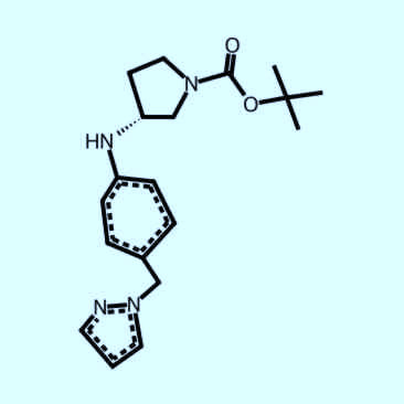 CC(C)(C)OC(=O)N1CC[C@@H](Nc2ccc(Cn3cccn3)cc2)C1